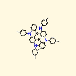 Cc1ccc(N2c3cccc4c3B3c5c2ccc2c5B5c6c(ccc(c63)N4c3ccc(C)cc3)-n3c4ccc(C)cc4c4ccc(c5c43)N2c2ccc(C)cc2)cc1